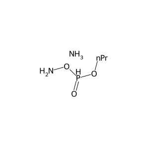 CCCO[PH](=O)ON.N